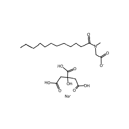 CCCCCCCCCCCC(=O)N(C)CC(=O)[O-].O=C(O)CC(O)(CC(=O)O)C(=O)O.[Na+]